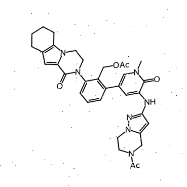 CC(=O)OCc1c(-c2cc(Nc3cc4n(n3)CCN(C(C)=O)C4)c(=O)n(C)c2)cccc1N1CCn2c(cc3c2CCCC3)C1=O